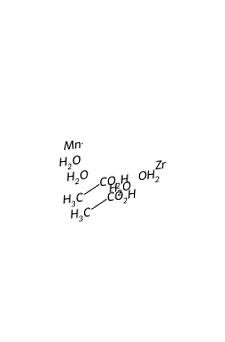 CC(=O)O.CC(=O)O.O.O.O.O.[Mn].[Zr]